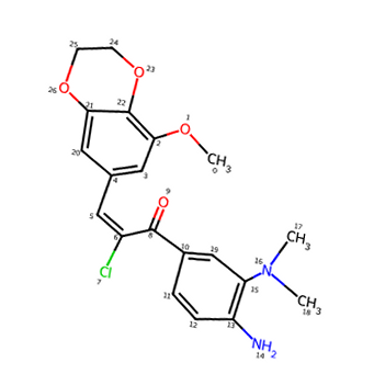 COc1cc(/C=C(/Cl)C(=O)c2ccc(N)c(N(C)C)c2)cc2c1OCCO2